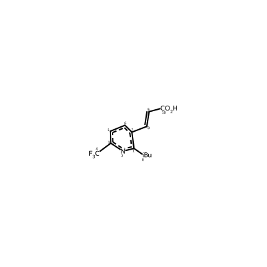 CCC(C)c1nc(C(F)(F)F)ccc1C=CC(=O)O